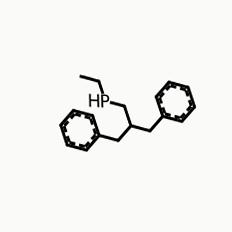 CCPCC(Cc1ccccc1)Cc1ccccc1